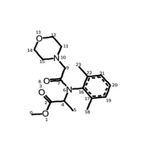 COC(=O)C(C)N(C(=O)CN1CCOCC1)c1c(C)cccc1C